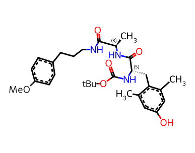 COc1ccc(CCCNC(=O)[C@@H](C)NC(=O)[C@H](Cc2c(C)cc(O)cc2C)NC(=O)OC(C)(C)C)cc1